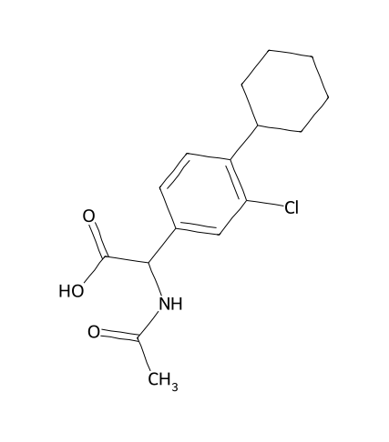 CC(=O)NC(C(=O)O)c1ccc(C2CCCCC2)c(Cl)c1